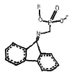 O=P(CN=C1c2ccccc2-c2ccccc21)(OF)OF